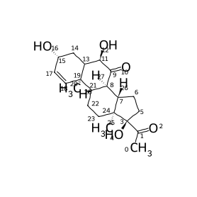 CC(=O)[C@@]1(O)CC[C@H]2[C@@H]3C(=O)[C@H](O)C4C[C@@H](O)C=C[C@]4(C)[C@H]3CC[C@@]21C